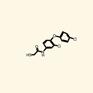 O=C(CS)Nc1ccc(Oc2ccc(Cl)cc2)c(Cl)c1